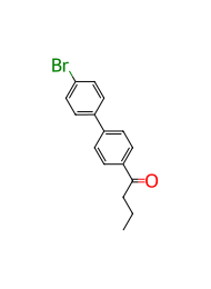 CCCC(=O)c1ccc(-c2ccc(Br)cc2)cc1